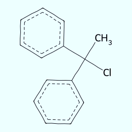 CC(Cl)(c1ccccc1)c1ccccc1